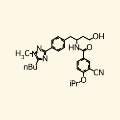 CCCCc1nc(-c2ccc(CC(CCO)NC(=O)c3ccc(OC(C)C)c(C#N)c3)cc2)nn1C